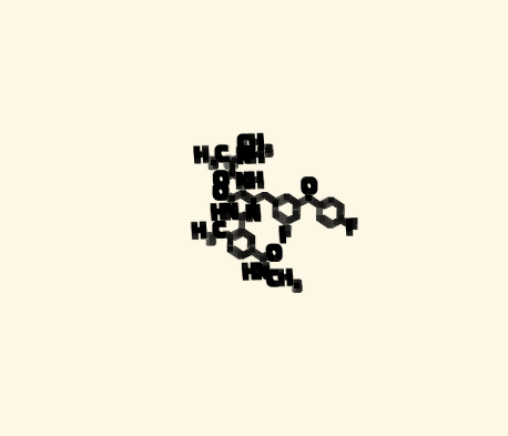 CNC(=O)c1ccc(C)c(-c2nc(Cc3cc(F)cc(C(=O)c4ccc(F)cc4)c3)c(NC(=O)[C@H](C)NC)c(=O)[nH]2)c1